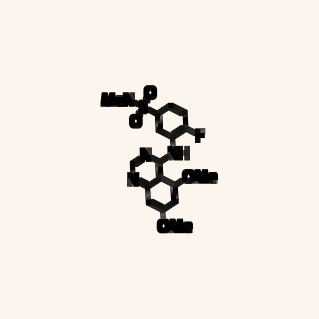 CNS(=O)(=O)c1ccc(F)c(Nc2ncnc3cc(OC)cc(OC)c23)c1